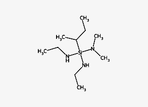 CCN[Si](NCC)(C(C)CC)N(C)C